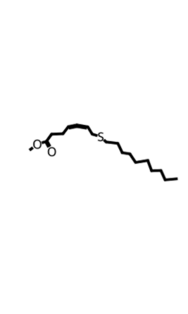 CCCCCCCCCCSCC=C=CCCC(=O)OC